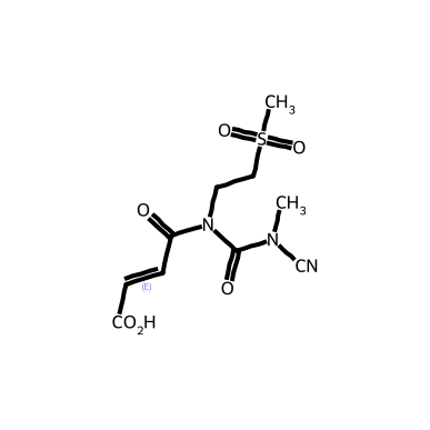 CN(C#N)C(=O)N(CCS(C)(=O)=O)C(=O)/C=C/C(=O)O